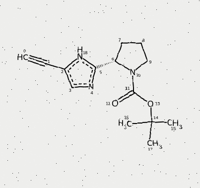 C#Cc1cnc([C@@H]2CCCN2C(=O)OC(C)(C)C)[nH]1